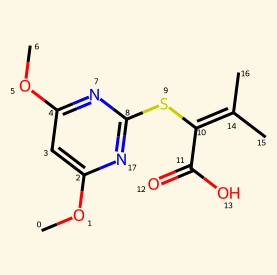 COc1cc(OC)nc(SC(C(=O)O)=C(C)C)n1